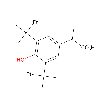 CCC(C)(C)c1cc(C(C)C(=O)O)cc(C(C)(C)CC)c1O